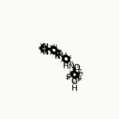 O=C(NC[C@H]1CC[C@H](n2cc3ccc(-c4ncccn4)cc3n2)CC1)c1cc(F)c(O)c(F)c1F